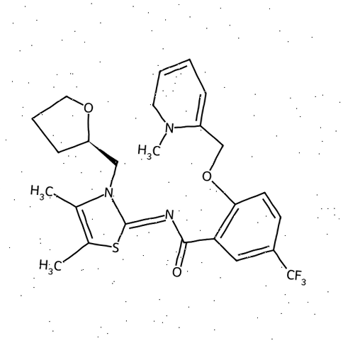 Cc1sc(=NC(=O)c2cc(C(F)(F)F)ccc2OCC2=CC=CCN2C)n(C[C@H]2CCCO2)c1C